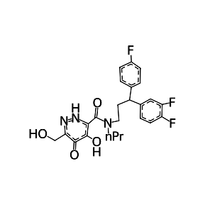 CCCN(CCC(c1ccc(F)cc1)c1ccc(F)c(F)c1)C(=O)c1[nH]nc(CO)c(=O)c1O